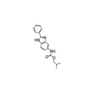 CC(C)COC(=O)Nc1ccc2[nH]c(-c3ccccc3)nc2c1